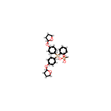 CS(=O)(=O)OS(c1ccccc1)(c1ccc(OC2CCCO2)cc1)c1ccc(OC2CCCO2)cc1